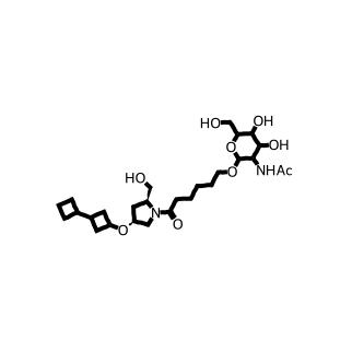 CC(=O)NC1C(OCCCCCC(=O)N2C[C@H](OC3CC(C4CCC4)C3)C[C@H]2CO)OC(CO)C(O)C1O